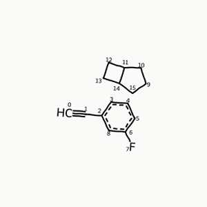 C#Cc1cccc(F)c1.C1CC2CCC2C1